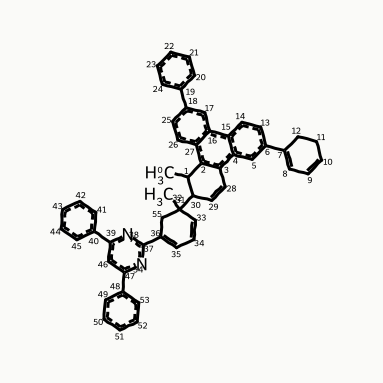 CC1c2c(c3cc(C4=CC=CCC4)ccc3c3cc(-c4ccccc4)ccc23)C=CC1C1(C)C=CC=C(c2nc(-c3ccccc3)cc(-c3ccccc3)n2)C1